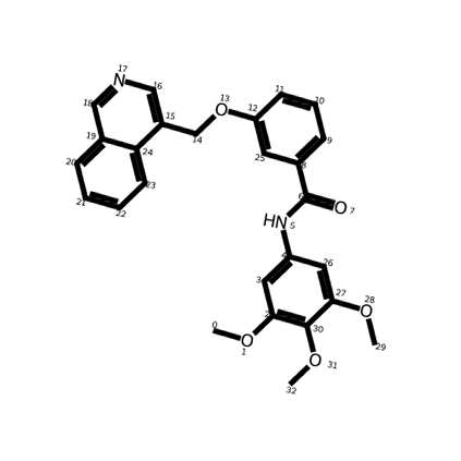 COc1cc(NC(=O)c2cccc(OCc3cncc4ccccc34)c2)cc(OC)c1OC